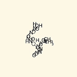 C[Si](C)(C)CCOCn1c(C2CCC(NC(=O)c3cc(CN4CCC[C@@H](NC(=O)O)C4)ccn3)CC2)cc2c(N3CCOCC3)ncnc21